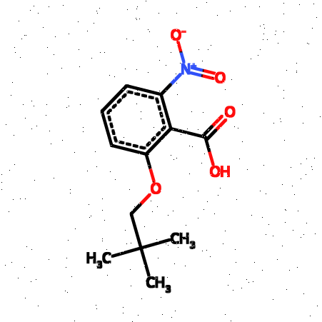 CC(C)(C)COc1cccc([N+](=O)[O-])c1C(=O)O